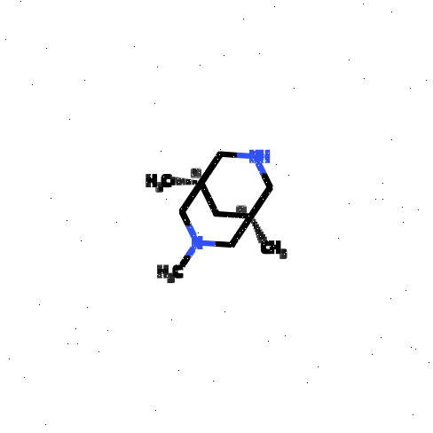 CN1C[C@]2(C)CNC[C@](C)(C1)C2